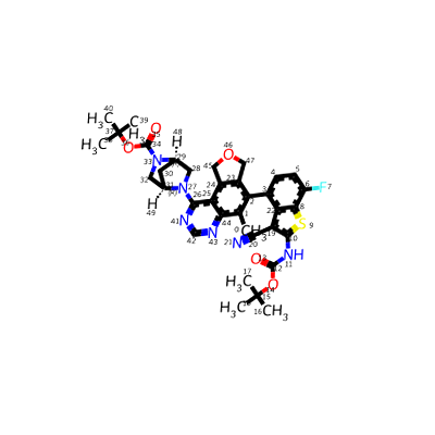 Cc1c(-c2ccc(F)c3sc(NC(=O)OC(C)(C)C)c(C#N)c23)c2c(c3c(N4C[C@H]5C[C@@H]4CN5C(=O)OC(C)(C)C)ncnc13)COC2